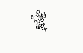 O=C(Nc1ccc(F)cc1F)c1cc(NC(=O)[C@@H]2[C@@H](c3cc(Cl)cc(Br)c3)C2(Cl)Cl)ccc1Cl